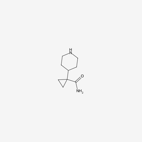 NC(=O)C1(C2CCNCC2)CC1